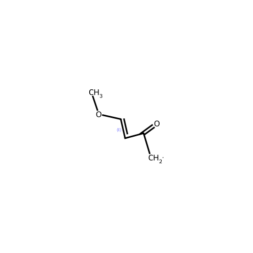 [CH2]C(=O)/C=C/OC